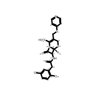 O=C(O)C1=C(CSc2ccncc2)CS[C@@H]2C(NC(=S)Cc3cc(Cl)ccc3Cl)C(=O)N12